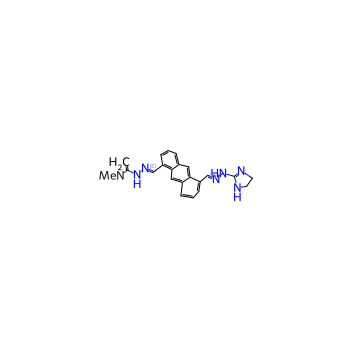 C=C(NC)N/N=C/c1cccc2cc3c(/C=N/NC4=NCCN4)cccc3cc12